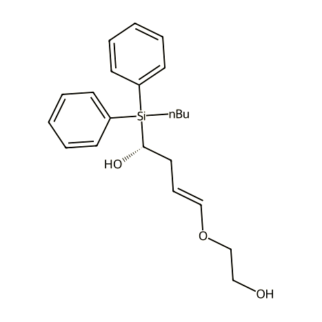 CCCC[Si](c1ccccc1)(c1ccccc1)[C@@H](O)CC=COCCO